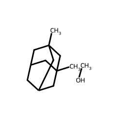 CC12CC3CC(C1)CC(C)(C3)C2.CO